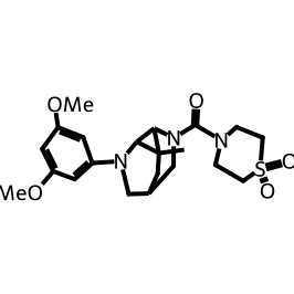 COc1cc(OC)cc(N2CC3CN(C(=O)N4CCS(=O)(=O)CC4)C4C2C4(C)C3)c1